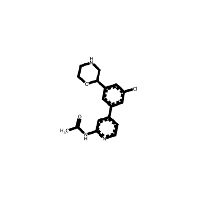 CC(=O)Nc1cc(-c2cc(Cl)cc(C3CNCCO3)c2)ccn1